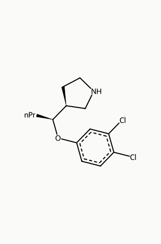 CCC[C@H](Oc1ccc(Cl)c(Cl)c1)[C@H]1CCNC1